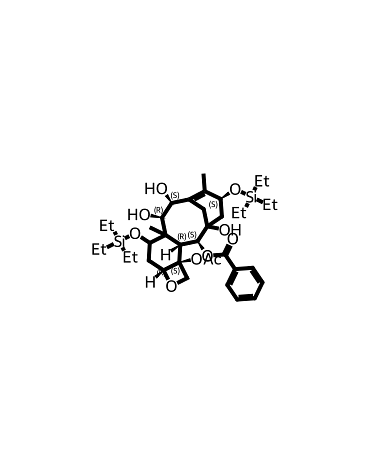 CC[Si](CC)(CC)OC1C[C@H]2OC[C@@]2(OC(C)=O)[C@H]2[C@H](OC(=O)c3ccccc3)C3(O)CC(=C(C)[C@@H](O[Si](CC)(CC)CC)C3)[C@H](O)[C@H](O)C12C